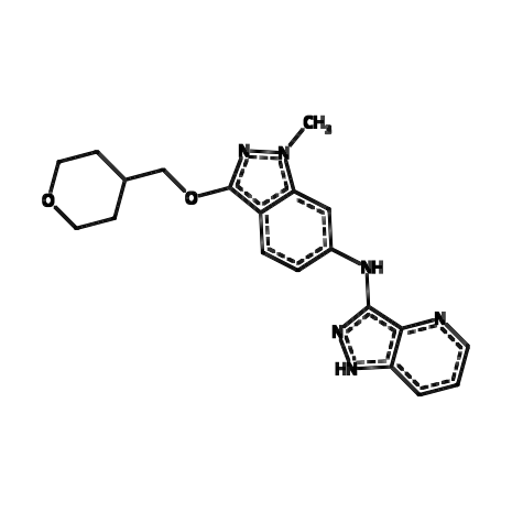 Cn1nc(OCC2CCOCC2)c2ccc(Nc3n[nH]c4cccnc34)cc21